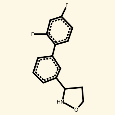 Fc1ccc(-c2cccc(C3CCON3)c2)c(F)c1